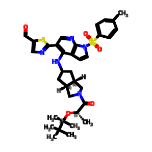 Cc1ccc(S(=O)(=O)n2ccc3c(NC4C[C@@H]5CN(C(=O)[C@H](C)O[Si](C)(C)C(C)(C)C)C[C@@H]5C4)c(-c4ncc(C=O)s4)cnc32)cc1